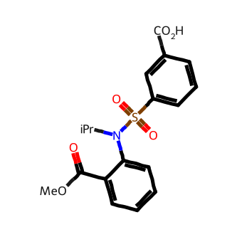 COC(=O)c1ccccc1N(C(C)C)S(=O)(=O)c1cccc(C(=O)O)c1